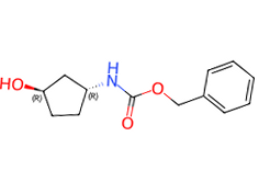 O=C(N[C@@H]1CC[C@@H](O)C1)OCc1ccccc1